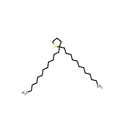 CCCCCCCCCCCCC1(CCCCCCCCCCCC)CCCS1